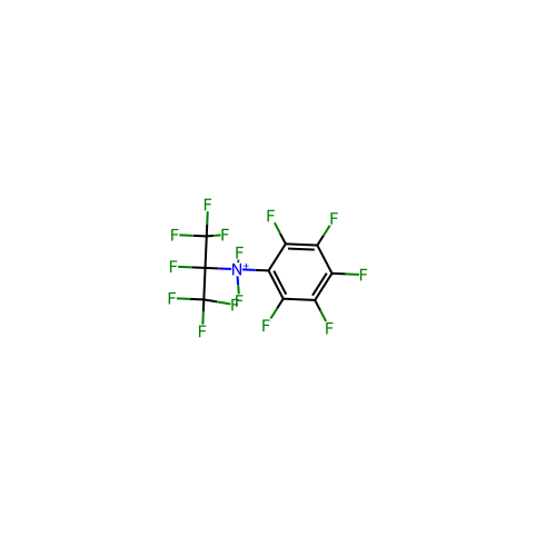 Fc1c(F)c(F)c([N+](F)(F)C(F)(C(F)(F)F)C(F)(F)F)c(F)c1F